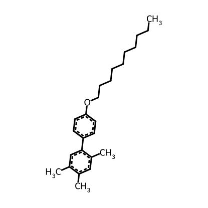 CCCCCCCCCCOc1ccc(-c2cc(C)c(C)cc2C)cc1